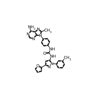 Cc1cccc(-n2nc(-c3ccco3)cc2NC(=O)Nc2ccc(-n3c(C)nc4c(N)ncnc43)cc2)c1